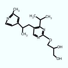 Cc1cc(C(C)Cc2cnc(OCC(O)CO)nc2C(C)C)ccn1